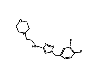 Fc1ccc(Cn2cc(NCCN3CCOCC3)nn2)cc1F